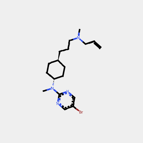 C=CCN(C)CCC[C@H]1CC[C@H](N(C)c2ncc(Br)cn2)CC1